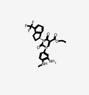 CCOC(=O)c1cn(-c2ccc(NC)c(N)c2)c(=O)n([C@@H]2CCc3c2cccc3C(F)(F)F)c1=O